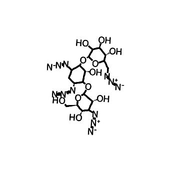 [N-]=[N+]=NCC1O[C@H](O[C@@H]2C(N=[N+]=[N-])C[C@@H](N=[N+]=[N-])C(OC3O[C@H](CO)[C@@H](O)C(N=[N+]=[N-])[C@H]3O)[C@H]2O)C(O)[C@@H](O)[C@@H]1O